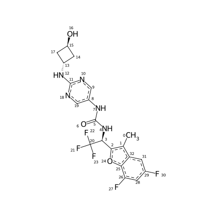 Cc1c([C@H](NC(=O)Nc2cnc(N[C@H]3C[C@H](O)C3)nc2)C(F)(F)F)oc2c(F)cc(F)cc12